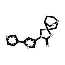 O=C1O[C@]2(CN3CCC2CC3)CN1c1coc(-c2ccsc2)c1